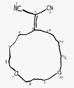 N#CC(C#N)=C1CCCOCCOCCC1